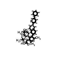 Cc1nc(C)c([C@H](OC(C)(C)C)C(=O)O)c(N2CCC(C)(C)CC2)c1-c1ccc2c(c1)CCN(c1ccc(-c3ccccc3)nn1)C2